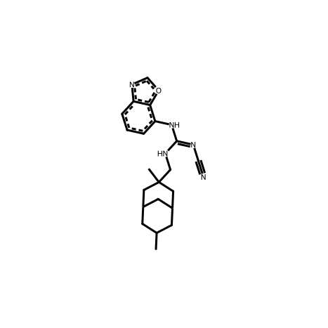 CC1CC2CC(C1)CC(C)(CN/C(=N\C#N)Nc1cccc3ncoc13)C2